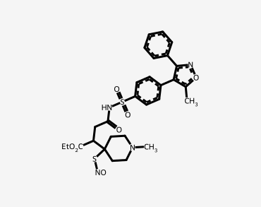 CCOC(=O)C(CC(=O)NS(=O)(=O)c1ccc(-c2c(-c3ccccc3)noc2C)cc1)C1(SN=O)CCN(C)CC1